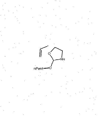 C=CC.CCCCCOC1NCCO1